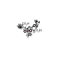 CCOC(=O)C(Cl)Cc1cc(-n2nc(C)n(C(F)F)c2=O)c(F)cc1Cl.CCc1cccc(C)c1N(C(=O)CCl)C(C)COC.CS(=O)(=O)c1cc(C(F)(F)F)ccc1C(=O)c1cnoc1C1CC1.C[S+](C)C.O=C(O)CNCP(=O)([O-])O